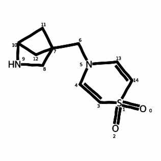 O=S1(=O)C=CN(CC23CNC(C2)C3)C=C1